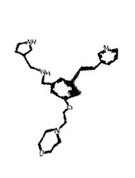 C(=C\c1cc(CNCC2CCNC2)cc(OCCN2CCOCC2)c1)/c1cccnc1